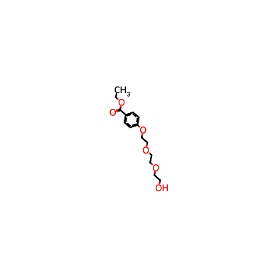 CCOC(=O)c1ccc(OCCOCCOCCO)cc1